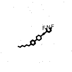 CCCCCCc1ccc(C2CCC(C#Cc3ccc(F)nc3F)CC2)cc1